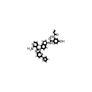 C=CC(=O)Nc1cc(O)ccc1C(=O)N[C@H]1CCc2cc(-n3c(-c4cccnc4N)nc4ccc(-n5cccn5)nc43)ccc21